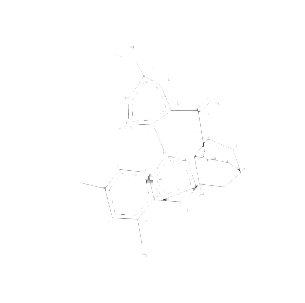 Cc1cnc(OC2CC3CCC2N(C(=O)c2cc(C)cnc2-n2nccn2)C3)c(F)c1